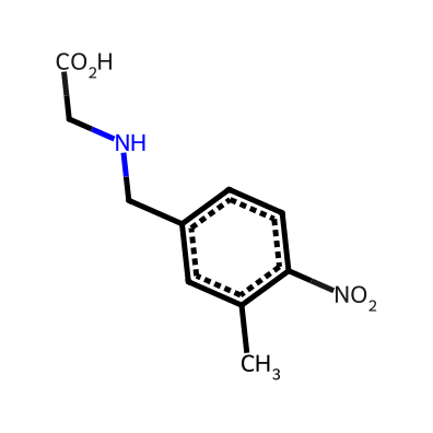 Cc1cc(CNCC(=O)O)ccc1[N+](=O)[O-]